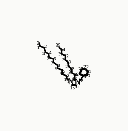 CCCCCCCCCCCCCC[n+]1ccn(Cc2ccccc2)c1CCCCCCCCCC